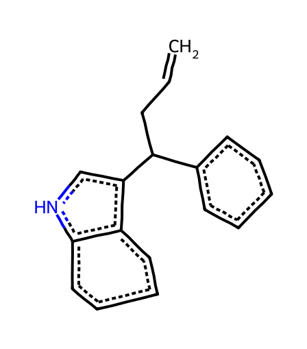 C=CCC(c1ccccc1)c1c[nH]c2ccccc12